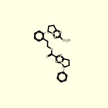 CCOC(=O)c1nc2n(n1)[C@H](c1ccccc1CCOC(=O)c1nc3n(n1)[C@@H](c1ccccc1)CC3)CC2